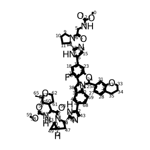 COC(=O)NCC(=O)N1CCC[C@H]1c1ncc(-c2cc(F)c3c(c2)OC(c2ccc4c(c2)OCCC4)n2c-3cc3cc(-c4cnc([C@@H]5C[C@H]6C[C@H]6N5C(=O)C(NC(=O)OC)C5CCO[C@H](C)C5)[nH]4)ccc32)[nH]1